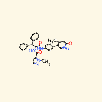 Cc1cc(=O)[nH]cc1-c1ccc(NC(=O)[C@@H](NC(=O)c2ccnn2C)C(c2ccccc2)c2ccccc2)cc1